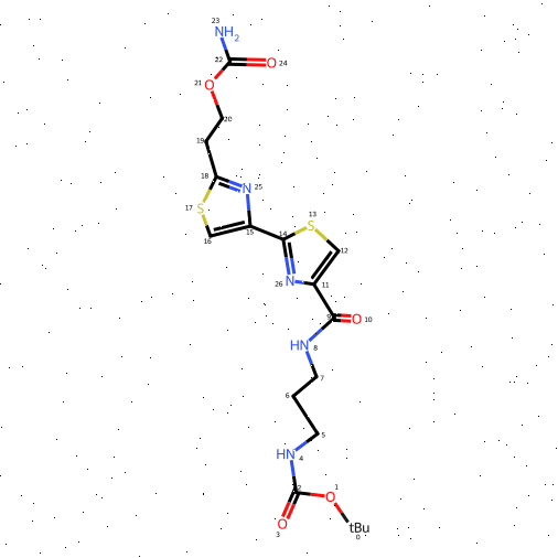 CC(C)(C)OC(=O)NCCCNC(=O)c1csc(-c2csc(CCOC(N)=O)n2)n1